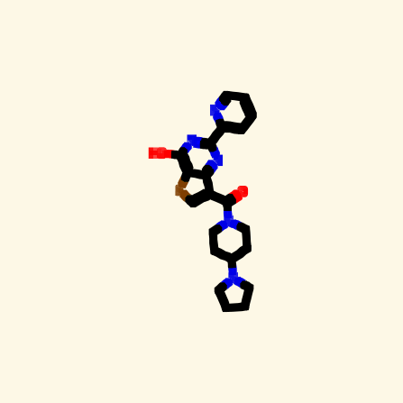 O=C(c1csc2c(O)nc(-c3ccccn3)nc12)N1CCC(N2CCCC2)CC1